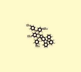 CC(C)(C)c1ccc(N2c3ccc(C(C)(C)C)cc3B3c4sc5cc6c(cc5c4N(c4ccc(C(C)(C)C)cc4)c4cc(C(C)(C)C)cc2c43)-c2ccccc2C6(c2ccccc2)c2ccccc2)cc1